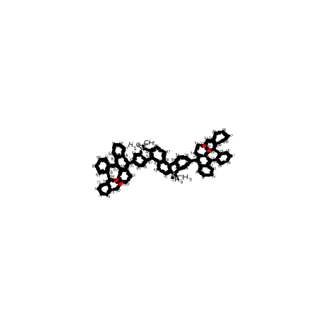 C[Si]1(C)c2cc(-c3c4ccccc4c(-c4ccccc4-c4cccc5ccccc45)c4ccccc34)ccc2-c2c1ccc1c3c(ccc21)[Si](C)(C)c1cc(-c2c4ccccc4c(-c4ccccc4-c4cccc5ccccc45)c4ccccc24)ccc1-3